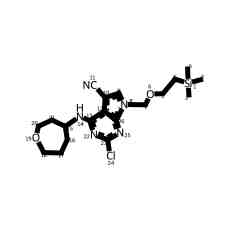 C[Si](C)(C)CCOCn1cc(C#N)c2c(NC3CCCOCC3)nc(Cl)nc21